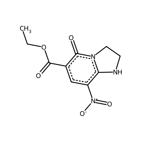 CCOC(=O)c1cc([N+](=O)[O-])c2n(c1=O)CCN2